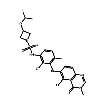 Cn1cnc2ccc(Nc3c(F)ccc(NS(=O)(=O)N4CC(OC(F)F)C4)c3Cl)c(Cl)c2c1=O